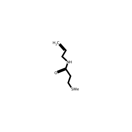 C=CCNC(=O)CCSC